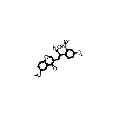 COc1ccc(/C(C#N)=C/c2coc3ccc(OC)cc3c2=O)c([N+](=O)[O-])c1